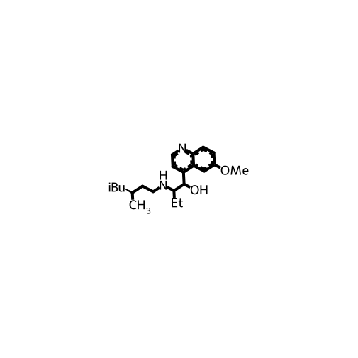 CCC(NCCC(C)[C@H](C)CC)C(O)c1ccnc2ccc(OC)cc12